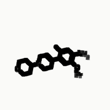 Cc1cc(N)c(OC(C)C)cc1C1=CCN(C2CCOCC2)CC1